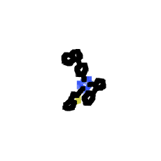 c1ccc(-c2ccccc2-c2nc(-c3ccc(-c4cccc5ccccc45)cc3)nc(-c3cc4ccccc4s3)n2)cc1